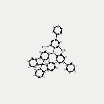 Cc1cc(-c2ccccc2)cc(C)c1N(c1ccc(-c2ccccc2)cc1)c1ccc2c(c1)C1(c3ccccc3-c3ccccc31)c1ccccc1-2